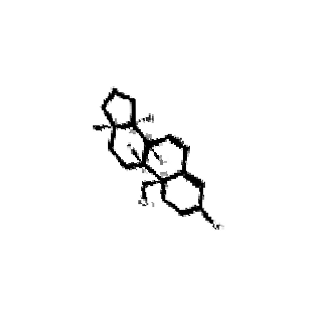 C[C@@]12CCC[C@H]1[C@@H]1CCC3=CC(O)CC[C@]3(CO)[C@@H]1CC2